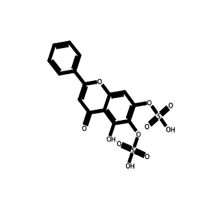 O=c1cc(-c2ccccc2)oc2cc(OS(=O)(=O)O)c(OS(=O)(=O)O)c(O)c12